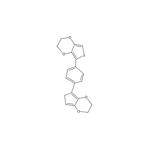 C1=C2OCCOC2=C(c2ccc(-c3scc4c3OCCO4)cc2)C1